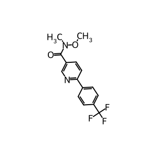 CON(C)C(=O)c1ccc(-c2ccc(C(F)(F)F)cc2)nc1